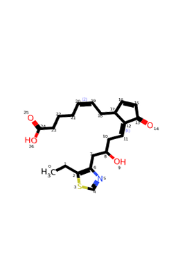 CCc1scnc1CC(O)C/C=C1/C(=O)C=CC1C/C=C\CCCC(=O)O